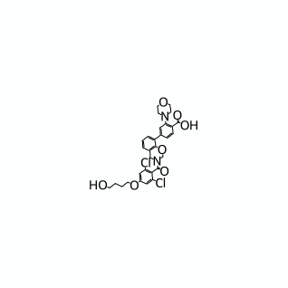 O=C(O)c1ccc(-c2cccc3c2OCN(C(=O)c2c(Cl)cc(OCCCCO)cc2Cl)C3)cc1N1CCOCC1